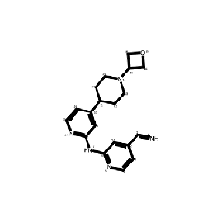 N=Cc1ccnc(Nc2cc(C3CCN(C4COC4)CC3)ccn2)c1